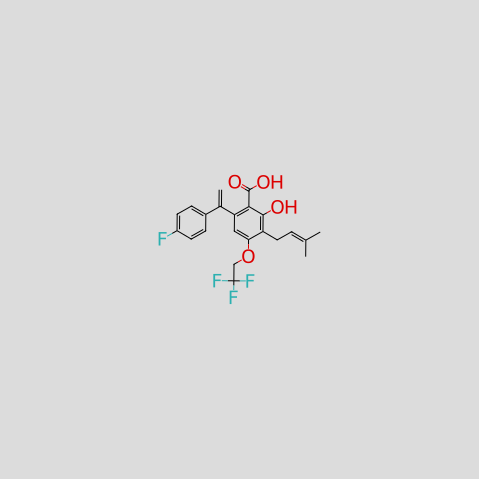 C=C(c1ccc(F)cc1)c1cc(OCC(F)(F)F)c(CC=C(C)C)c(O)c1C(=O)O